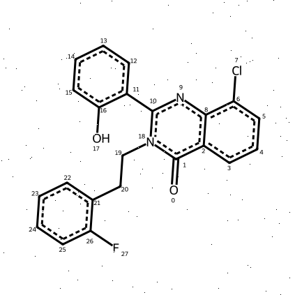 O=c1c2cccc(Cl)c2nc(-c2ccccc2O)n1CCc1ccccc1F